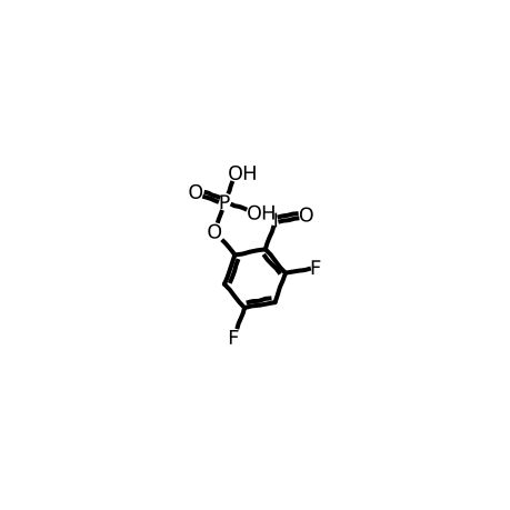 O=Ic1c(F)cc(F)cc1OP(=O)(O)O